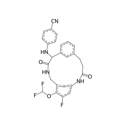 N#Cc1ccc(NC2C(=O)NCc3cc(cc(F)c3OC(F)F)NC(=O)CCc3cccc2c3)cc1